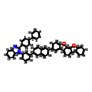 c1ccc(-c2ccc(-c3nc4ccccc4n3-c3cccc(-c4ccc5cc(-c6ccc7oc8c(ccc9c%10ccccc%10oc98)c7c6)ccc5c4)c3)cc2)cc1